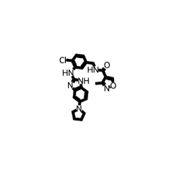 Cc1nocc1C(=O)NCc1ccc(Cl)c(Nc2nc3cc(N4CCCC4)ccc3[nH]2)c1